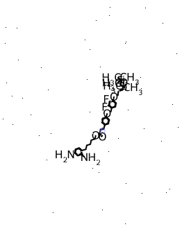 C[Si](C)(C)O[Si](C)(C)CCCOc1ccc(COc2ccc(/C=C/C(=O)OCCCCCc3ccc(N)cc3N)cc2)c(F)c1F